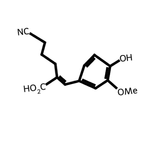 COc1cc(C=C(CCCC#N)C(=O)O)ccc1O